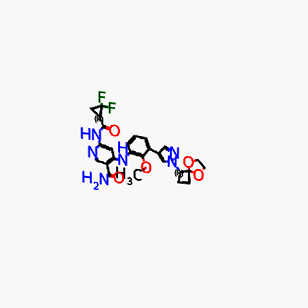 COc1c(Nc2cc(NC(=O)[C@H]3CC3(F)F)ncc2C(N)=O)cccc1-c1cnn([C@@H]2CCC23OCCO3)c1